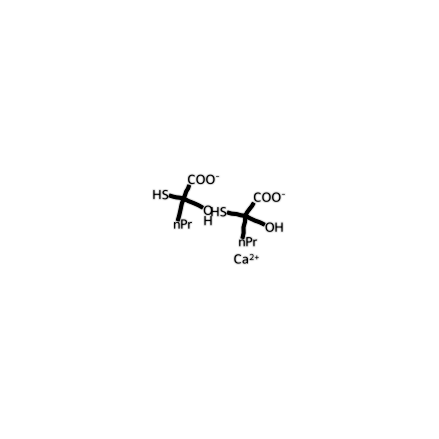 CCCC(O)(S)C(=O)[O-].CCCC(O)(S)C(=O)[O-].[Ca+2]